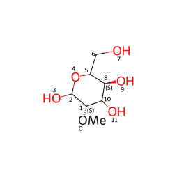 CO[C@@H]1C(O)OC(CO)[C@@H](O)C1O